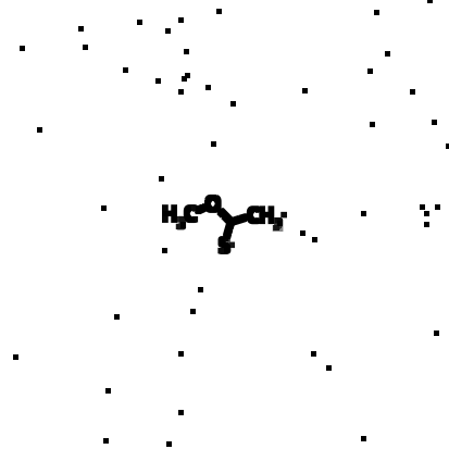 [CH2]C([S])OC